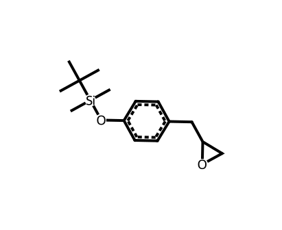 CC(C)(C)[Si](C)(C)Oc1ccc(CC2CO2)cc1